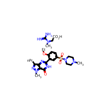 CCCc1nn(C)c2c(=O)[nH]c(-c3cc(S(=O)(=O)N4CCN(C)CC4)ccc3OCC)nc12.CN(CC(=O)O)C(=N)N